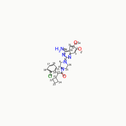 COc1cc2nc(N3CCN(C(=O)C(c4ccccc4Cl)C4CCC4)CC3)nc(N)c2cc1OC